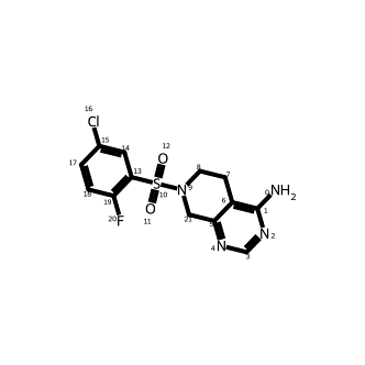 Nc1ncnc2c1CCN(S(=O)(=O)c1cc(Cl)ccc1F)C2